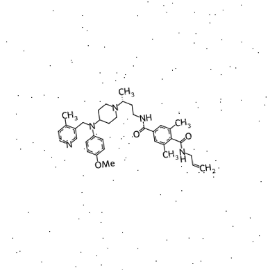 C=CCNC(=O)c1c(C)cc(C(=O)NCC[C@@H](C)N2CCC(N(Cc3cnccc3C)c3ccc(OC)cc3)CC2)cc1C